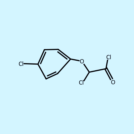 O=C(Cl)C(Cl)Oc1ccc(Cl)cc1